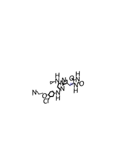 CN(C)CCCOc1ccc(Nc2cc(NC3CC3)n3ncc(/C=C4/NC(=O)NC4=O)c3n2)cc1Cl